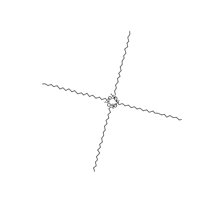 CCCCCCCCCCCCCCCCCCCCCC[Si]1(C)O[Si](C)(CCCCCCCCCCCCCCCCCCCCCC)O[Si](C)(CCCCCCCCCCCCCCCCCCCCCC)O[Si](C)(CCCCCCCCCCCCCCCCCCCCCC)O1